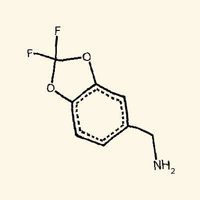 NCc1ccc2c(c1)OC(F)(F)O2